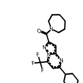 O=C(c1cc2nc(C3CCCCC3)cc(C(F)(F)F)n2n1)N1CCCCCC1